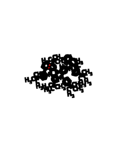 CC(C)(C)c1ccc(N2c3cc(N4c5ccc(C(C)(C)C)cc5C5(C)CCc6ccccc6C45C)ccc3B3c4cc(C(C)(C)C)ccc4N(c4ccc(C(C)(C)C)cc4-c4ccccc4)c4cc(C(C)(C)C)cc2c43)cc1